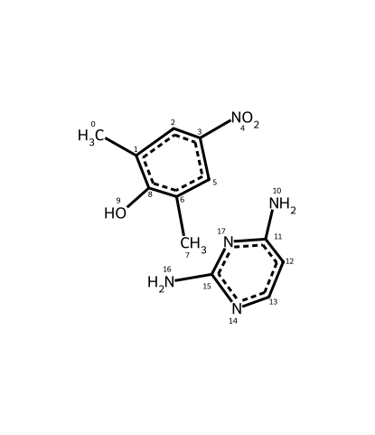 Cc1cc([N+](=O)[O-])cc(C)c1O.Nc1ccnc(N)n1